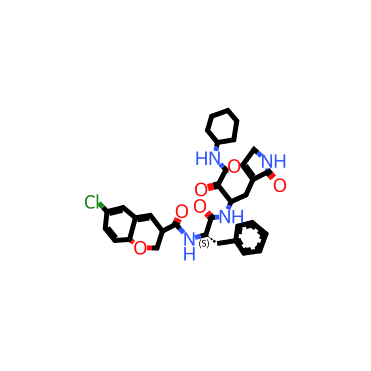 O=C(NC1CCCCC1)C(=O)C(CC1=CCNC1=O)NC(=O)[C@H](Cc1ccccc1)NC(=O)C1C=C2C=C(Cl)C=CC2OC1